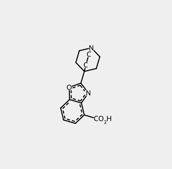 O=C(O)c1cccc2oc(C34CCN(CC3)CC4)nc12